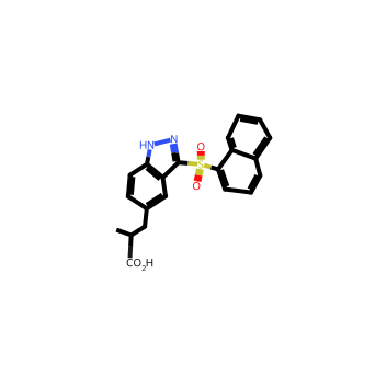 CC(Cc1ccc2[nH]nc(S(=O)(=O)c3cccc4ccccc34)c2c1)C(=O)O